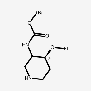 CCO[C@H]1CCNCC1NC(=O)OC(C)(C)C